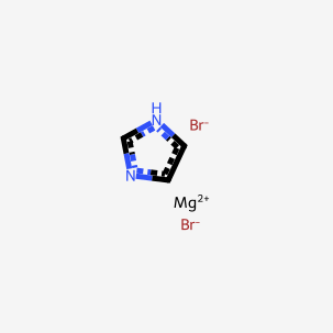 [Br-].[Br-].[Mg+2].c1c[nH]cn1